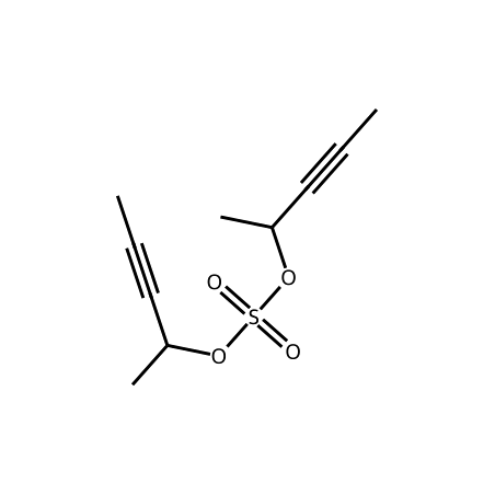 CC#CC(C)OS(=O)(=O)OC(C)C#CC